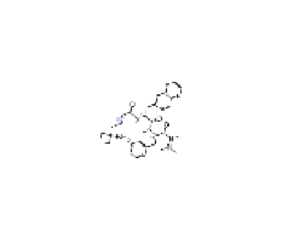 CN(C(=O)/C=C/CC1(N)CCC1)[C@H](Cc1ccc2ccccc2c1)C(=O)N(C)[C@H](Cc1ccccc1)C(=O)N(C)N(C)C